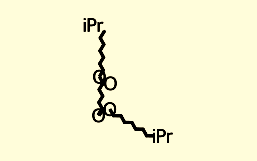 CC(C)CCCCCCCOC(=O)CCCC(=O)OCCCCCCCC(C)C